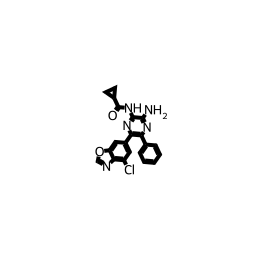 Nc1nc(-c2ccccc2)c(-c2cc(Cl)c3ncoc3c2)nc1NC(=O)C1CC1